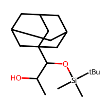 CC(O)C(O[Si](C)(C)C(C)(C)C)C12CC3CC(CC(C3)C1)C2